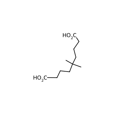 CC(C)(CCCC(=O)O)CCCC(=O)O